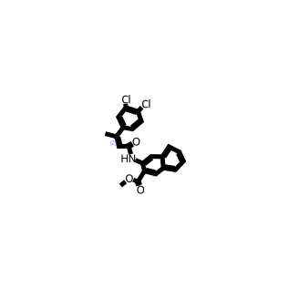 COC(=O)c1cc2ccccc2cc1NC(=O)/C=C(/C)c1ccc(Cl)c(Cl)c1